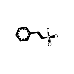 O=S(=O)(F)/C=C/c1ccccc1